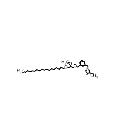 CCCCCCCCCCCCCCCCCCOCC(COCc1cccc(CN2C=C(C)SC2)c1)OC